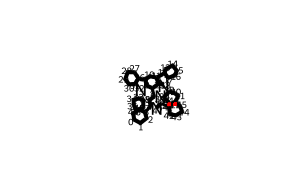 c1ccc(-c2cc(-c3c4c(cc5c6ccccc6n(-c6ccccc6)c35)c3ccccc3n4-c3ccccc3)nc(-c3ccccc3)n2)cc1